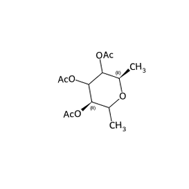 CC(=O)OC1C(OC(C)=O)[C@@H](C)OC(C)[C@H]1OC(C)=O